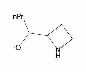 CCCC([O])C1CCN1